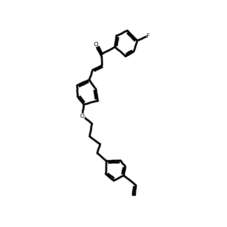 C=Cc1ccc(CCCCOc2ccc(C=CC(=O)c3ccc(F)cc3)cc2)cc1